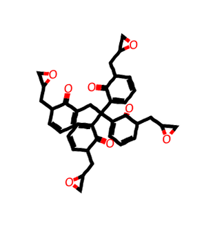 O=C1C(CC(C2=CC=CC(CC3CO3)C2=O)(C2=CC=CC(CC3CO3)C2=O)C2=CC=CC(CC3CO3)C2=O)=CC=CC1CC1CO1